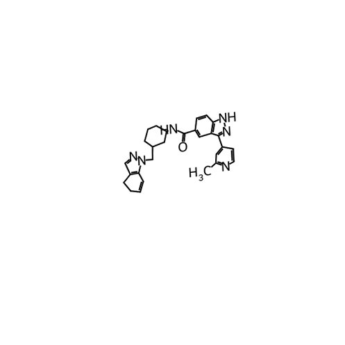 Cc1cc(-c2n[nH]c3ccc(C(=O)NC4CCCC(Cn5ncc6c5C=CCC6)C4)cc23)ccn1